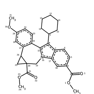 COC(=O)c1ccc2c(C3CCCCC3)c3n(c2c1)CC1(C(=O)OC)CC1c1cc(OC)ccc1-3